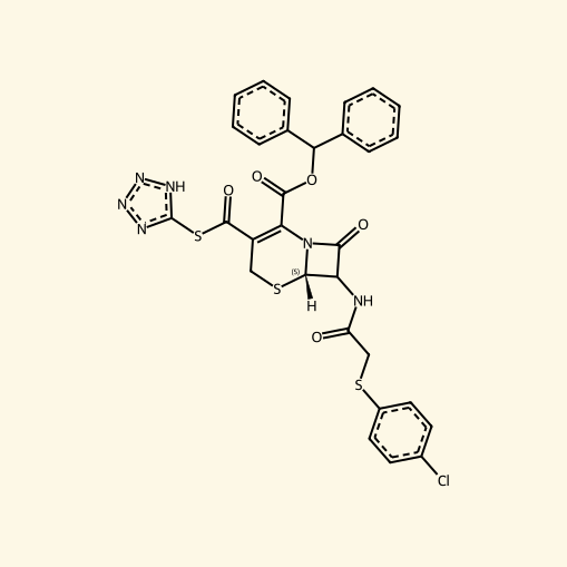 O=C(CSc1ccc(Cl)cc1)NC1C(=O)N2C(C(=O)OC(c3ccccc3)c3ccccc3)=C(C(=O)Sc3nnn[nH]3)CS[C@@H]12